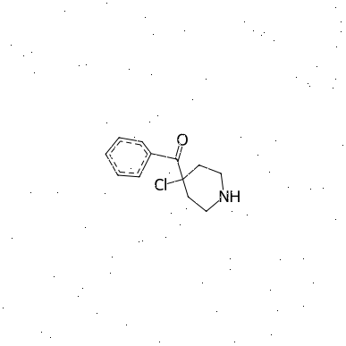 O=C(c1ccccc1)C1(Cl)CCNCC1